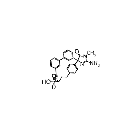 CN1C(=O)C(c2ccc(CCCS(=O)(=O)O)cc2)(c2cccc(-c3cccc(C#N)c3)c2)N=C1N